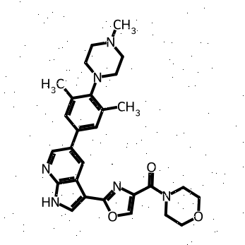 Cc1cc(-c2cnc3[nH]cc(-c4nc(C(=O)N5CCOCC5)co4)c3c2)cc(C)c1N1CCN(C)CC1